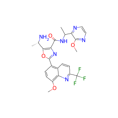 COc1nccnc1C(C)NC(=O)c1nc(-c2ccc(OC)c3nc(C(F)(F)F)ccc23)oc1[C@H](C)N